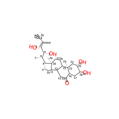 C=C([C@@H](O)[C@H](O)[C@@H](C)[C@H]1CCC2C3CC(=O)C4C[C@H](O)[C@@H](O)C[C@]4(C)C3CC[C@@]21C)C(C)(C)C